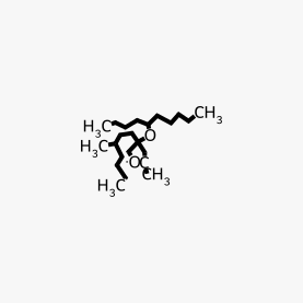 CCCCCC(CCCC)OC(C[O])(CCC)CCC(C)CCCC